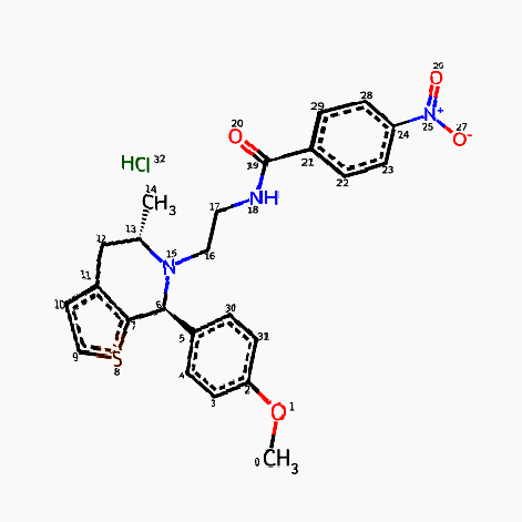 COc1ccc([C@H]2c3sccc3C[C@H](C)N2CCNC(=O)c2ccc([N+](=O)[O-])cc2)cc1.Cl